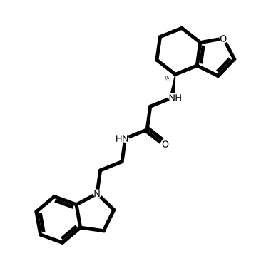 O=C(CN[C@H]1CCCc2occc21)NCCN1CCc2ccccc21